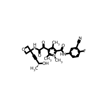 Cc1c(C(=O)C(=O)NC2(C#C[C@@H](C)O)COC2)c(C)n(C)c1C(=O)Nc1ccc(F)c(C#N)c1